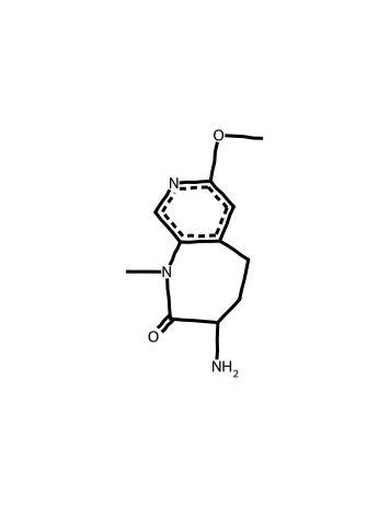 COc1cc2c(cn1)N(C)C(=O)C(N)CC2